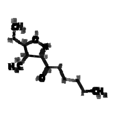 CCCCCC(=O)C1=NOC(CC)C1C